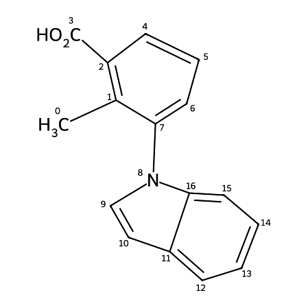 Cc1c(C(=O)O)cccc1-n1ccc2ccccc21